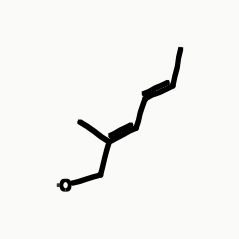 C/C=C/C=C(\C)C[O]